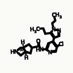 CCCc1c(-c2cc(NC(=O)C3C[C@H]4CNC[C@H]4C3)ncc2Cl)cnn1CCC